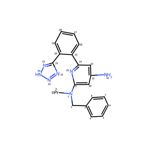 CCCN(Cc1ccccc1)c1cc(N)cc(-c2ccccc2-c2nn[nH]n2)n1